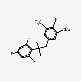 CC(C)(C)c1cc(CC(C)(C)c2c(F)cc(F)cc2F)cc(C(F)(F)F)c1F